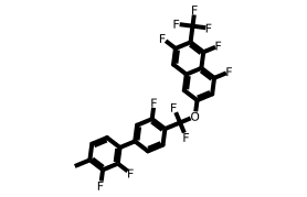 Cc1ccc(-c2ccc(C(F)(F)Oc3cc(F)c4c(F)c(C(F)(F)F)c(F)cc4c3)c(F)c2)c(F)c1F